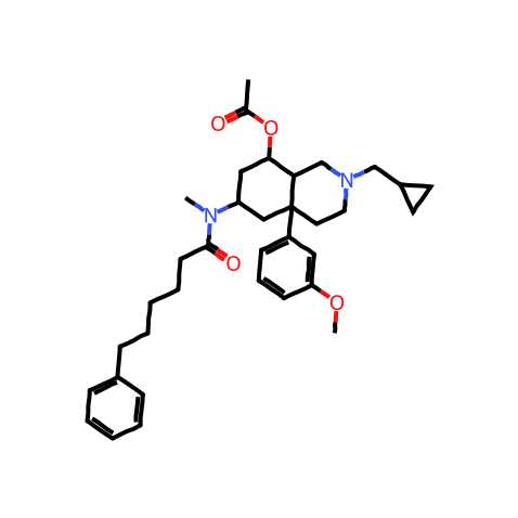 COc1cccc(C23CCN(CC4CC4)CC2C(OC(C)=O)CC(N(C)C(=O)CCCCCc2ccccc2)C3)c1